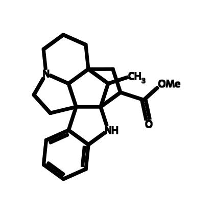 COC(=O)C1CC23CCCN4CCC5(c6ccccc6NC15C2C)C43